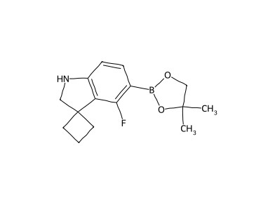 CC1(C)COB(c2ccc3c(c2F)C2(CCC2)CN3)O1